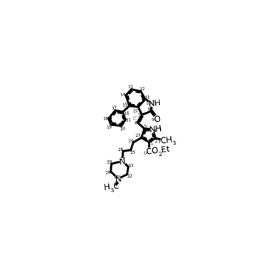 CCOC(=O)c1c(C)[nH]c(/C=C2\C(=O)Nc3cccc(-c4ccccc4)c32)c1CCCN1CCN(C)CC1